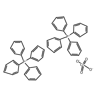 [O]=[Cr](=[O])([O-])[O-].c1ccc([P+](c2ccccc2)(c2ccccc2)c2ccccc2)cc1.c1ccc([P+](c2ccccc2)(c2ccccc2)c2ccccc2)cc1